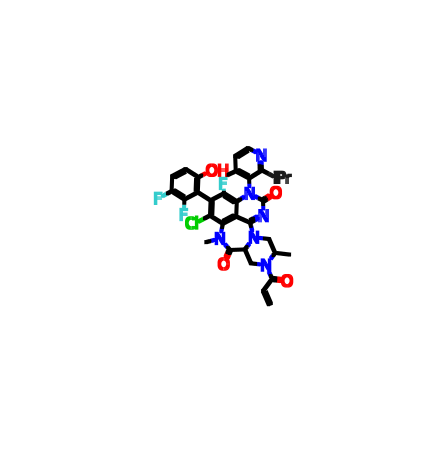 C=CC(=O)N1CC2C(=O)N(C)c3c(Cl)c(-c4c(O)ccc(F)c4F)c(F)c4c3c(nc(=O)n4-c3c(C)ccnc3C(C)C)N2CC1C